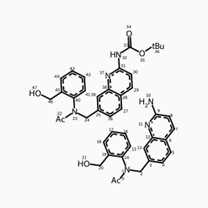 CC(=O)N(Cc1ccc2ccc(N)nc2c1)c1ccccc1CO.CC(=O)N(Cc1ccc2ccc(NC(=O)OC(C)(C)C)nc2c1)c1ccccc1CO